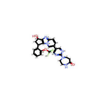 O=C1CCN(c2ncc(-c3ccc4nc5c(n4c3)C(c3ccccc3OC(F)F)CC5O)cn2)CCN1